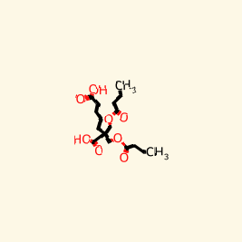 CCCC(=O)OCC(CCCCC(=O)O)(COC(=O)CCC)C(=O)O